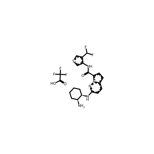 N[C@H]1CCCC[C@H]1Nc1ccc2ccc(C(=O)Nc3cscc3C(F)F)n2n1.O=C(O)C(F)(F)F